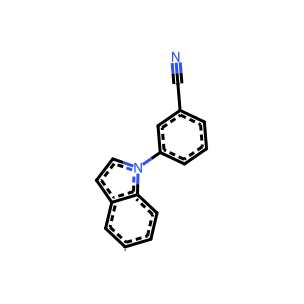 N#Cc1cccc(-n2ccc3c[c]ccc32)c1